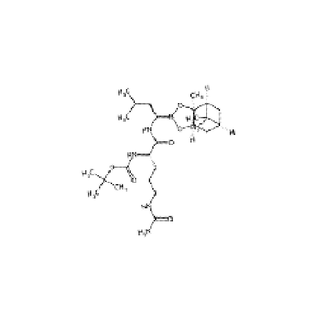 CC(C)C[C@H](NC(=O)[C@H](CCCNC(N)=O)NC(=O)OC(C)(C)C)B1O[C@@H]2C[C@@H]3C[C@@H](C3(C)C)[C@]2(C)O1